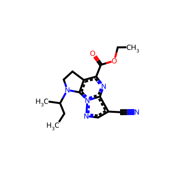 CCOC(=O)c1nc2c(C#N)cnn2c2c1CCN2C(C)CC